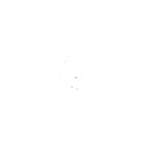 CO[C@@H](c1ccccc1I)[C@H](C)OC(=O)NC(C)C